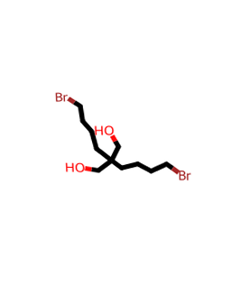 OCC(CO)(CCCCBr)CCCCBr